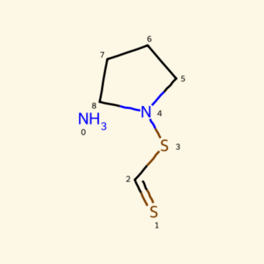 N.S=CSN1CCCC1